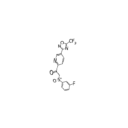 O=C(C[S+]([O-])c1cccc(F)c1)c1ccc(-c2noc(C(F)(F)F)n2)cn1